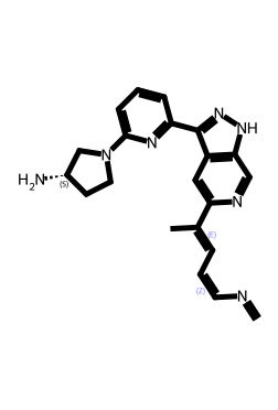 C=N/C=C\C=C(/C)c1cc2c(-c3cccc(N4CC[C@H](N)C4)n3)n[nH]c2cn1